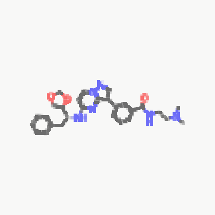 CN(C)CCNC(=O)c1cccc(-c2cnn3ccc(NC(Cc4ccccc4)C4=COCO4)nc23)c1